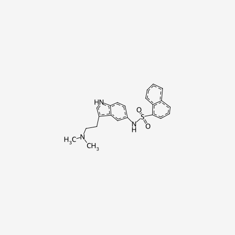 CN(C)CCc1c[nH]c2ccc(NS(=O)(=O)c3cccc4ccccc34)cc12